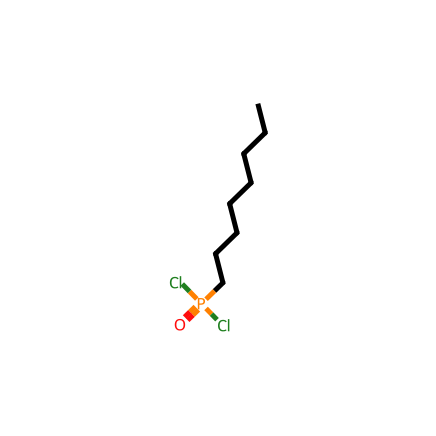 CCCCCCCCP(=O)(Cl)Cl